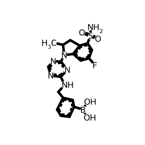 CC1Cc2c(cc(F)cc2S(N)(=O)=O)N1c1ncnc(NCc2cccc(B(O)O)c2)n1